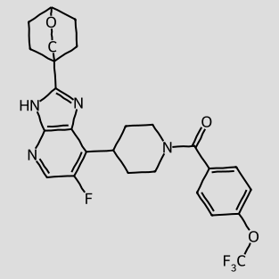 O=C(c1ccc(OC(F)(F)F)cc1)N1CCC(c2c(F)cnc3[nH]c(C45CCC(CC4)OC5)nc23)CC1